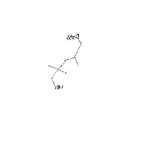 COCC(C)CC(C)(C)CC(C)(C)C